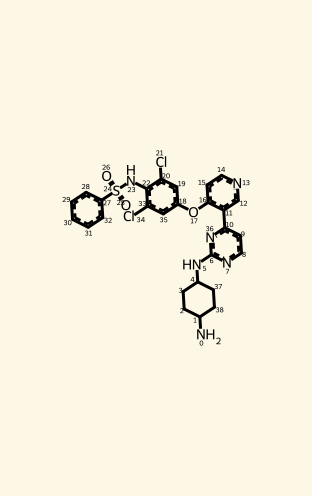 NC1CCC(Nc2nccc(-c3cnccc3Oc3cc(Cl)c(NS(=O)(=O)c4ccccc4)c(Cl)c3)n2)CC1